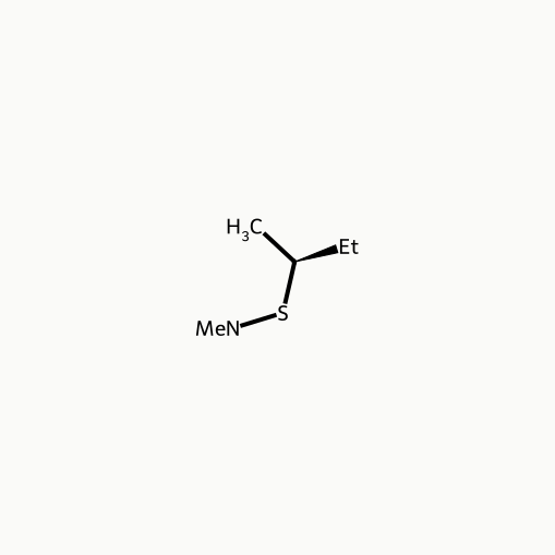 CC[C@H](C)SNC